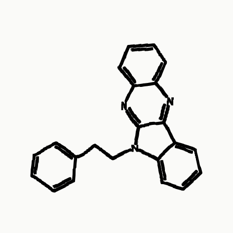 c1ccc(CCn2c3ccccc3c3nc4ccccc4nc32)cc1